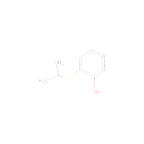 CC(C)Sc1ccccc1O